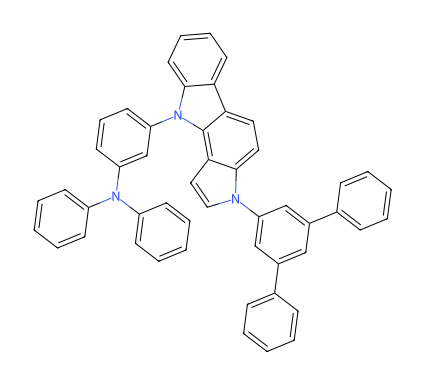 c1ccc(-c2cc(-c3ccccc3)cc(-n3ccc4c3ccc3c5ccccc5n(-c5cccc(N(c6ccccc6)c6ccccc6)c5)c34)c2)cc1